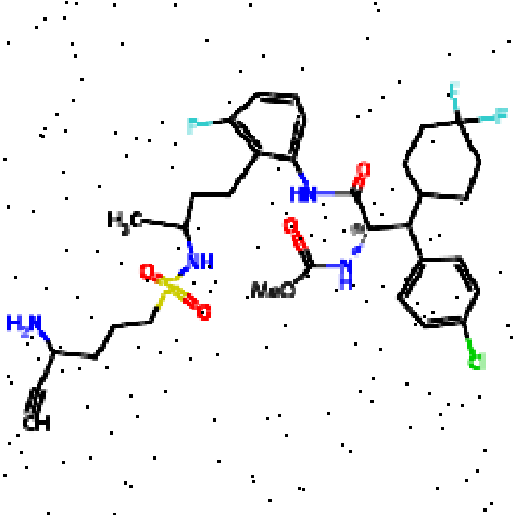 C#CC(N)CCCS(=O)(=O)NC(C)CCc1c(F)cccc1NC(=O)[C@@H](NC(=O)OC)C(c1ccc(Cl)cc1)C1CCC(F)(F)CC1